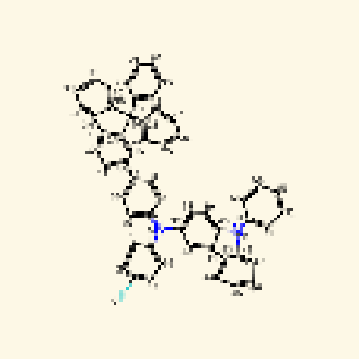 Fc1ccc(N(c2ccc(-c3ccc4c(c3)C(c3ccccc3)(c3ccccc3)c3ccccc3-4)cc2)c2ccc3c(c2)c2ccccc2n3-c2ccccc2)cc1